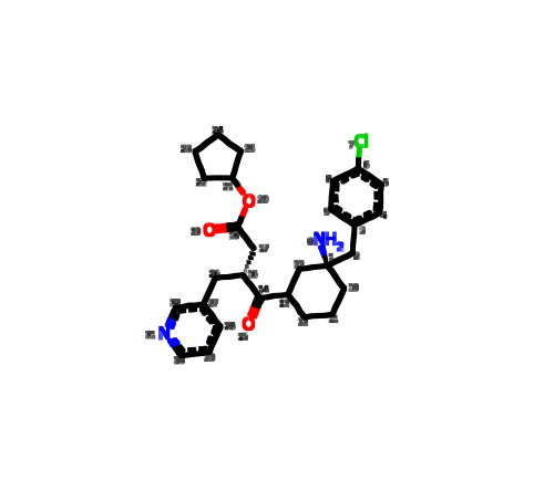 N[C@@]1(Cc2ccc(Cl)cc2)CCCC(C(=O)[C@@H](CC(=O)OC2CCCC2)Cc2cccnc2)C1